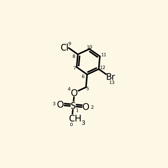 CS(=O)(=O)OCc1cc(Cl)ccc1Br